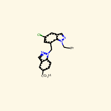 CC(C)Cn1ncc2cc(Cl)cc(Cn3ncc4cc(C(=O)O)ccc43)c21